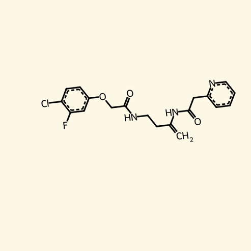 C=C(CCNC(=O)COc1ccc(Cl)c(F)c1)NC(=O)Cc1ccccn1